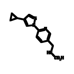 O=C(O)NCc1ccc(-n2cc(C3CC3)cn2)nc1